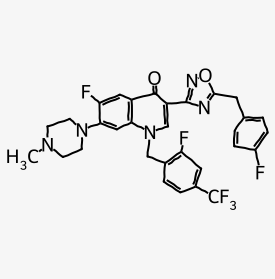 CN1CCN(c2cc3c(cc2F)c(=O)c(-c2noc(Cc4ccc(F)cc4)n2)cn3Cc2ccc(C(F)(F)F)cc2F)CC1